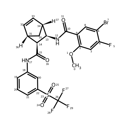 COc1cc(F)c(Br)cc1C(=O)N[C@H]1[C@@H](C(=O)Nc2cccc(S(=O)(=O)C(F)(F)F)c2)[C@@H]2C=C[C@H]1C2